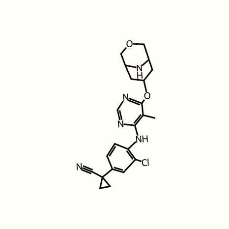 Cc1c(Nc2ccc(C3(C#N)CC3)cc2Cl)ncnc1OC1CC2COCC(C1)N2